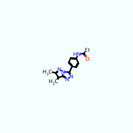 C=c1c(C)nn2c(-c3ccc(NC(=O)CC)cc3)nnc12